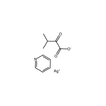 CC(C)C(=O)C(=O)[O-].[Ag+].c1ccncc1